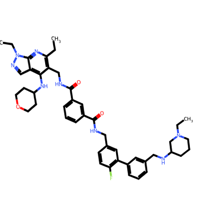 CCc1nc2c(cnn2CC)c(NC2CCOCC2)c1CNC(=O)c1cccc(C(=O)NCc2ccc(F)c(-c3cccc(CNC4CCCN(CC)C4)c3)c2)c1